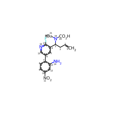 C=CCC(c1cc(-c2ccc([N+](=O)[O-])cc2N)cnc1F)N(C(=O)O)C(C)(C)C